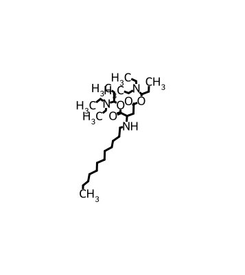 CCCCCCCCCCCCNC(CC(=O)OC(CC)N(CC)CC)C(=O)OC(CC)N(CC)CC